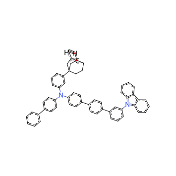 C1#C[C@@H]2CC3(c4cccc(N(c5ccc(-c6ccccc6)cc5)c5ccc(-c6ccc(-c7cccc(-n8c9ccccc9c9ccccc98)c7)cc6)cc5)c4)CCC2C[C@H]1C3